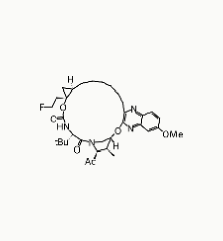 COc1ccc2nc3c(nc2c1)O[C@H]1CN(C(=O)[C@H](C(C)(C)C)NC(=O)O[C@]2(CCF)C[C@H]2CCCCCC3)[C@H](C(C)=O)[C@@H]1C